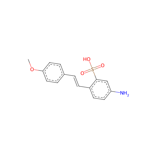 COc1ccc(C=Cc2ccc(N)cc2S(=O)(=O)O)cc1